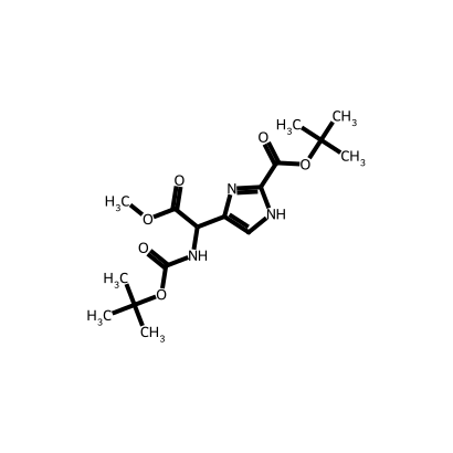 COC(=O)C(NC(=O)OC(C)(C)C)c1c[nH]c(C(=O)OC(C)(C)C)n1